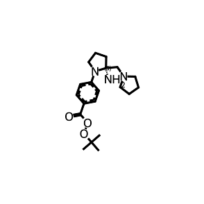 CC(C)(C)OOC(=O)c1ccc(N2CCC[C@@]2(N)CN2CCCC2)cc1